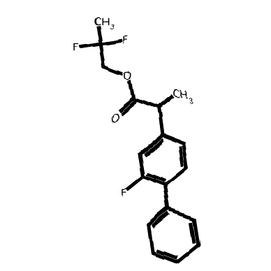 CC(C(=O)OCC(C)(F)F)c1ccc(-c2ccccc2)c(F)c1